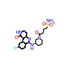 NS(=O)(=O)CCCC(=O)N1CCC[C@@H](Nc2nc3cc[nH]c(=O)c3c3cc(F)ccc23)C1